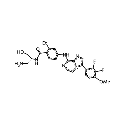 CCc1cc(Nc2nccn3c(-c4ccc(OC)c(F)c4F)cnc23)ccc1C(=O)N[C@H](CN)CO